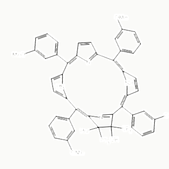 COc1cccc(-c2c3nc(c(-c4cccc(OC)c4)c4ccc([nH]4)c(-c4cccc(OC)c4)c4nc(c(-c5cccc(OC)c5)c5ccc2[nH]5)C(O)(C(F)(F)F)C4(O)C(F)(F)F)C=C3)c1